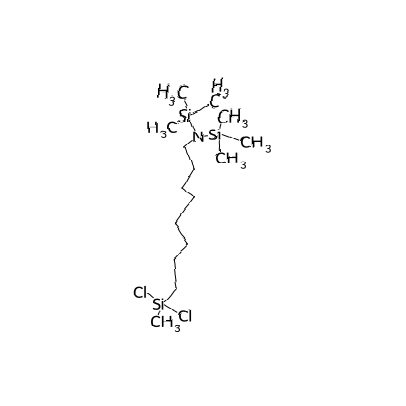 C[Si](Cl)(Cl)CCCCCCCCN([Si](C)(C)C)[Si](C)(C)C